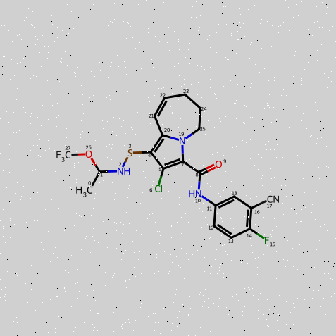 CC(NSc1c(Cl)c(C(=O)Nc2ccc(F)c(C#N)c2)n2c1C=CCCC2)OC(F)(F)F